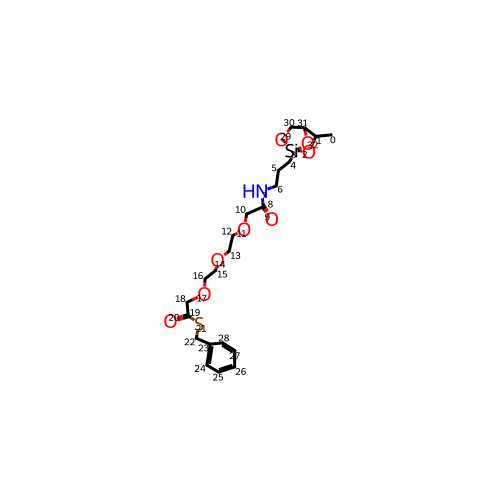 CC1O[Si]2(CCCNC(=O)COCCOCCOCC(=O)SCc3ccccc3)OCC1O2